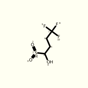 O=[SH](=O)C(O)CCC(F)(F)F